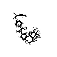 CC#C[C@H](C)Oc1ccc(C(=O)Nc2ccc3c(c2)[C@@]2(C)N=C(N)C(C)(C)S(=O)(=O)[C@@H]2CCO3)nc1